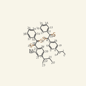 CCC(C)c1ccc(C(=S)C(=S)c2ccccc2)cc1.CCC(C)c1ccc(C(=S)C(=S)c2ccccc2)cc1.[Ni]